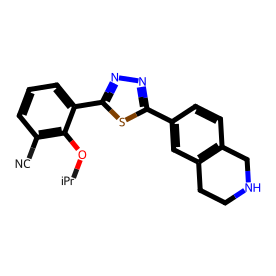 CC(C)Oc1c(C#N)cccc1-c1nnc(-c2ccc3c(c2)CCNC3)s1